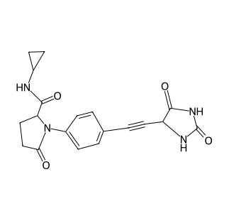 O=C1NC(=O)C(C#Cc2ccc(N3C(=O)CCC3C(=O)NC3CC3)cc2)N1